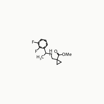 COC(=O)C1(CNC(C)c2cccc(F)c2F)CC1